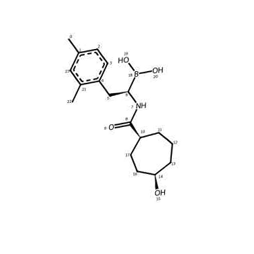 Cc1ccc(C[C@H](NC(=O)[C@H]2CCC[C@@H](O)CC2)B(O)O)c(C)c1